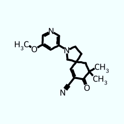 COc1cncc(N2CCC3(C=C(C#N)C(=O)C(C)(C)C3)C2)c1